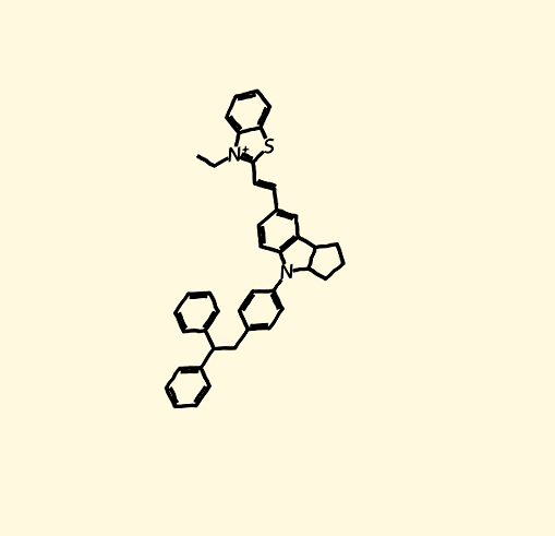 CC[n+]1c(/C=C/c2ccc3c(c2)C2CCCC2N3c2ccc(CC(c3ccccc3)c3ccccc3)cc2)sc2ccccc21